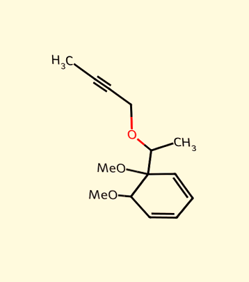 CC#CCOC(C)C1(OC)C=CC=CC1OC